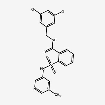 Cc1cncc(NS(=O)(=O)c2ccccc2C(=O)NCc2cc(Cl)cc(Cl)c2)c1